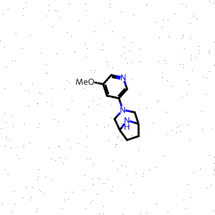 COc1cncc(N2CC3CCC(C2)N3)c1